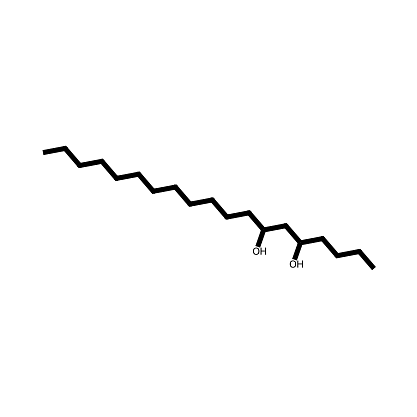 CCCCCCCCCCCCC(O)CC(O)CCCC